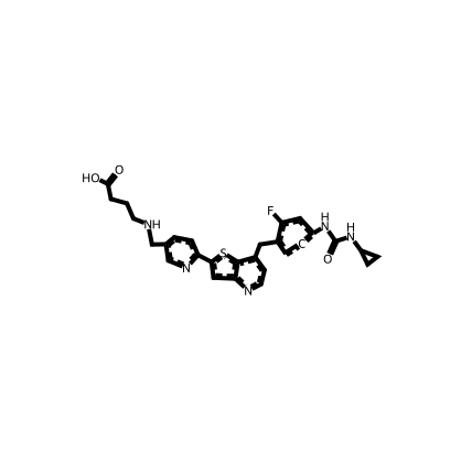 O=C(O)CCCNCc1ccc(-c2cc3nccc(Cc4ccc(NC(=O)NC5CC5)cc4F)c3s2)nc1